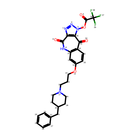 O=C(On1nnc2c(=O)[nH]c3cc(OCCCN4CCC(Cc5ccccc5)CC4)ccc3c(=O)c21)C(F)(F)F